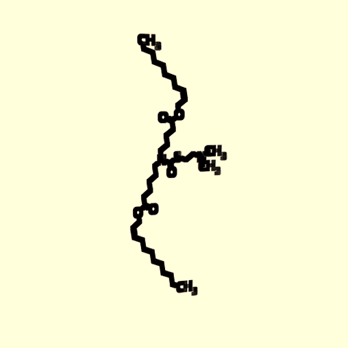 CCCCCCCC/C=C\COC(=O)CCCCN(CCCCCC(=O)OC/C=C\CCCCCCCCC)C(=O)SCCN(C)C